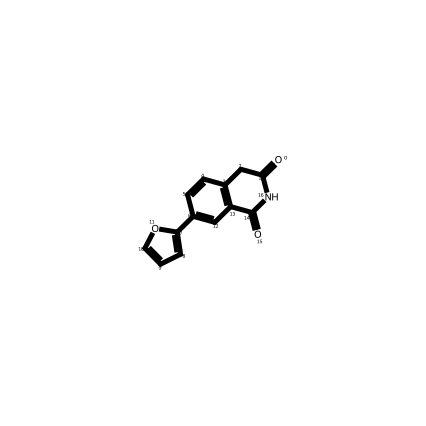 O=C1Cc2ccc(-c3ccco3)cc2C(=O)N1